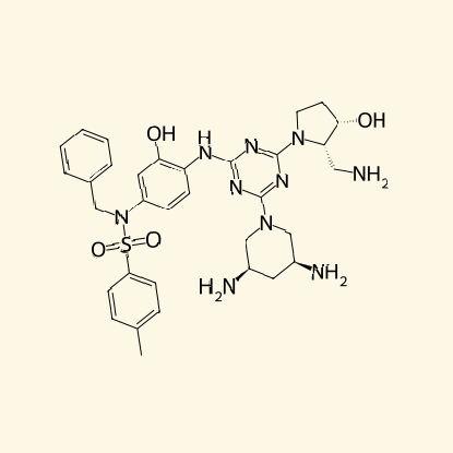 Cc1ccc(S(=O)(=O)N(Cc2ccccc2)c2ccc(Nc3nc(N4C[C@H](N)C[C@H](N)C4)nc(N4CC[C@H](O)[C@@H]4CN)n3)c(O)c2)cc1